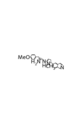 COc1ccc(C[C@H](N)CNC2=CCC(c3ccc4cnccc4c3)N2C)cc1